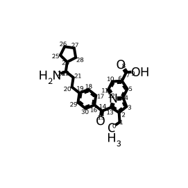 CCc1cc2cc(C(=O)O)ccn2c1C(=O)c1ccc(CCC(N)C2CCCC2)cc1